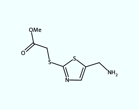 COC(=O)CSc1ncc(CN)s1